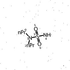 CCCN(CCC)S([NH])(=O)=O